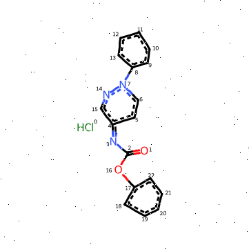 Cl.O=C(/N=c1\ccn(-c2ccccc2)nc1)Oc1ccccc1